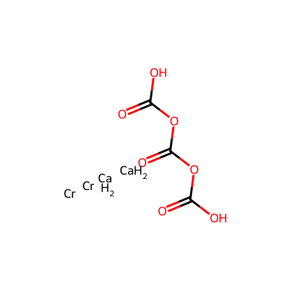 O=C(O)OC(=O)OC(=O)O.[CaH2].[CaH2].[Cr].[Cr]